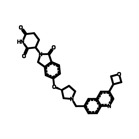 O=C1CCC(N2Cc3cc(O[C@H]4CCN(Cc5ccc6ncc(C7COC7)cc6c5)C4)ccc3C2=O)C(=O)N1